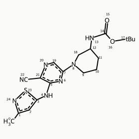 Cc1cc(Nc2nc(N3CCCC(NC(=O)OC(C)(C)C)C3)cnc2C#N)sn1